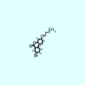 CCCCOc1ccc2c(c1)oc(=O)c1cc(Br)ccc12